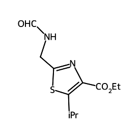 CCOC(=O)c1nc(CNC=O)sc1C(C)C